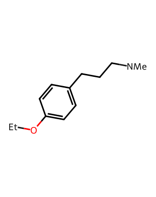 CCOc1ccc(CCCNC)cc1